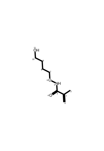 C=C(C)C(=O)NOCCCCO